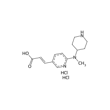 CN(c1ccc(C=CC(=O)O)cn1)C1CCNCC1.Cl.Cl